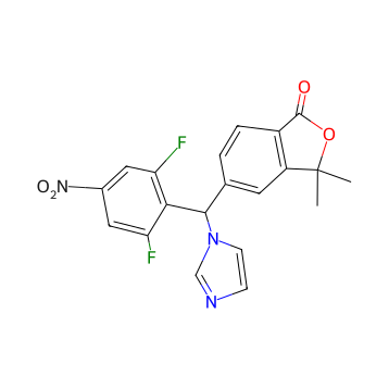 CC1(C)OC(=O)c2ccc(C(c3c(F)cc([N+](=O)[O-])cc3F)n3ccnc3)cc21